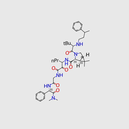 CCCC(NC(=O)[C@@H]1[C@H]2[C@@H](CN1C(=O)C(NCCC(C)c1ccccc1)C(C)(C)C)C2(C)C)C(=O)C(=O)NCC(=O)N[C@H](C(=O)N(C)C)c1ccccc1